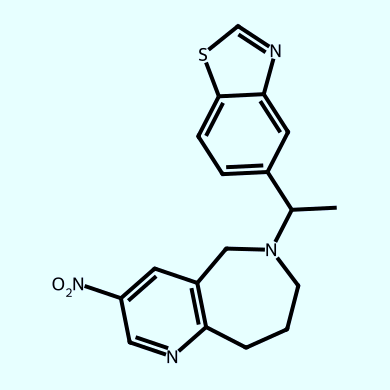 CC(c1ccc2scnc2c1)N1CCCc2ncc([N+](=O)[O-])cc2C1